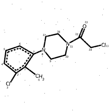 Cc1c(Cl)cccc1N1CCN(C(=O)CCl)CC1